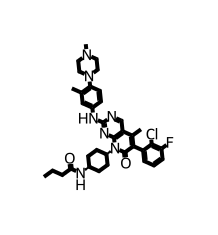 CCCC(=O)N[C@H]1CC[C@@H](n2c(=O)c(-c3cccc(F)c3Cl)c(C)c3cnc(Nc4ccc(N5CCN(C)CC5)c(C)c4)nc32)CC1